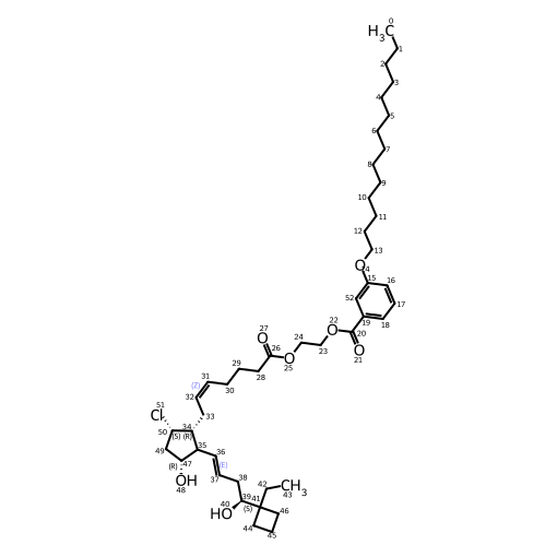 CCCCCCCCCCCCCCOc1cccc(C(=O)OCCOC(=O)CCC/C=C\C[C@@H]2C(/C=C/C[C@H](O)C3(CC)CCC3)[C@H](O)C[C@@H]2Cl)c1